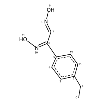 CCc1ccc(C(C=NO)=NO)cc1